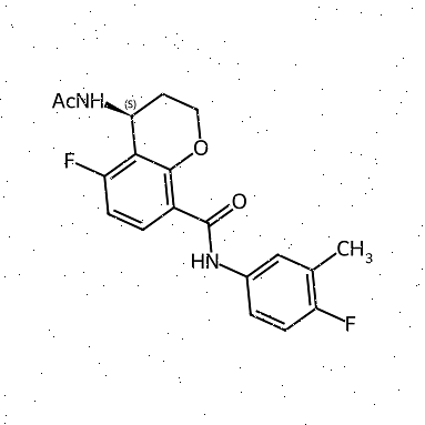 CC(=O)N[C@H]1CCOc2c(C(=O)Nc3ccc(F)c(C)c3)ccc(F)c21